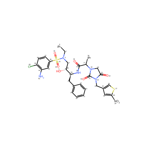 CC(C)CN(C[C@@H](O)[C@H](Cc1ccccc1)NC(=O)C(C(C)C)N1CC(=O)N(Cc2csc([N+](=O)[O-])c2)C1=O)S(=O)(=O)c1ccc(Cl)c(N)c1